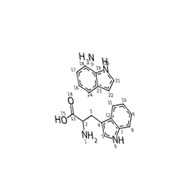 N.NC(Cc1c[nH]c2ccccc12)C(=O)O.c1ccc2[nH]ccc2c1